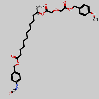 CCCCCC[C@H](CCCCCCCCCCC(=O)OCc1ccc(N=C=O)cc1)OC(=O)COCC(=O)OCc1ccc(OC#N)cc1